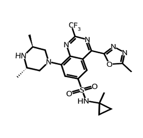 Cc1nnc(-c2nc(C(F)(F)F)nc3c(N4C[C@H](C)N[C@@H](C)C4)cc(S(=O)(=O)NC4(C)CC4)cc23)o1